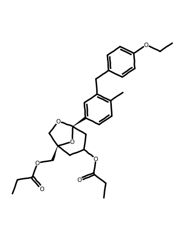 CCOc1ccc(Cc2cc([C@]34CC(OC(=O)CC)C[C@](COC(=O)CC)(CO3)O4)ccc2C)cc1